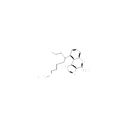 CCCC(CCCCON)c1cccc2nc(N)c3nc[nH]c3c12